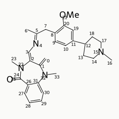 C=C1/C(=C\N=C(/C)Cc2ccc(C3CCN(C)CC3)cc2OC)N(C)C(=O)c2ccccc2N1C